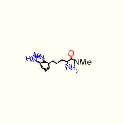 CNC(=O)C(N)CCCc1cccc2[nH]nnc12